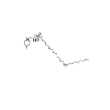 CCCCCCCC/C=C\CCCCCCCCCCCCOP(=O)(O)OCC[N+]1(C)CCC(C)CC1